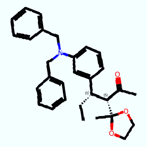 CC[C@H](c1cccc(N(Cc2ccccc2)Cc2ccccc2)c1)[C@H](C(C)=O)C1(C)OCCO1